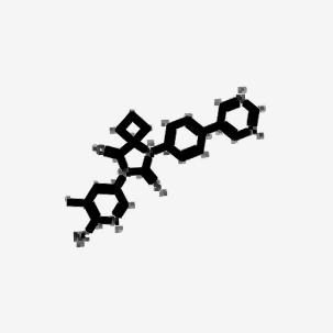 Cc1cc(N2C(=O)C3(CCC3)N(c3ccc(-c4cncnc4)cc3)C2=S)cnc1C#N